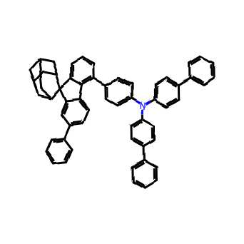 c1ccc(-c2ccc(N(c3ccc(-c4ccccc4)cc3)c3ccc(-c4cccc5c4-c4ccc(-c6ccccc6)cc4C54C5CC6CC(C5)CC4C6)cc3)cc2)cc1